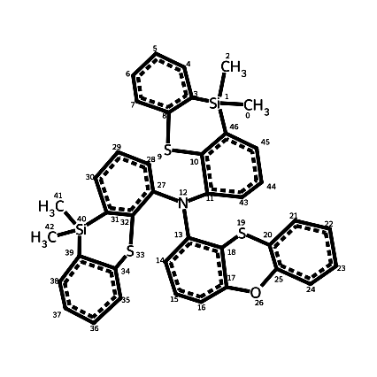 C[Si]1(C)c2ccccc2Sc2c(N(c3cccc4c3Sc3ccccc3O4)c3cccc4c3Sc3ccccc3[Si]4(C)C)cccc21